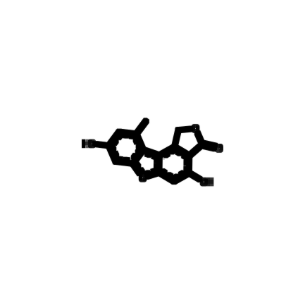 Cc1cc(O)cc2oc3cc(O)c4c(c3c12)COC4=O